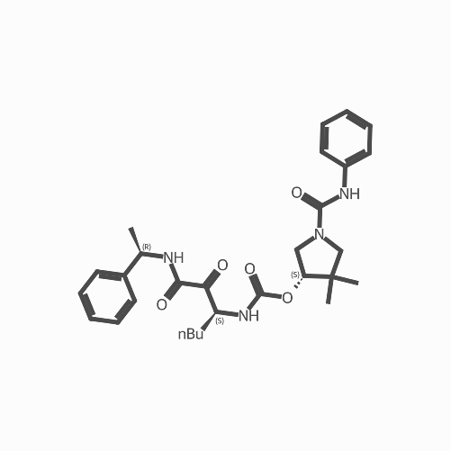 CCCC[C@H](NC(=O)O[C@@H]1CN(C(=O)Nc2ccccc2)CC1(C)C)C(=O)C(=O)N[C@H](C)c1ccccc1